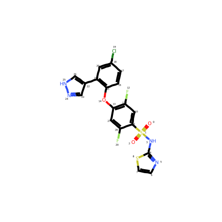 O=S(=O)(Nc1nccs1)c1cc(F)c(Oc2ccc(Cl)cc2-c2cn[nH]c2)cc1F